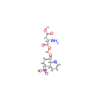 COC(=O)C[C@H](N)C(=O)OCOc1ccc([N+](=O)[O-])c2cccnc12